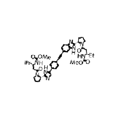 CC[C@H](CC(=O)N1CCC[C@H]1c1nc2ccc(C#Cc3ccc(-c4cnc([C@@H]5CCCN5C(=O)C[C@H](NC(=O)OC)C(C)C)[nH]4)cc3)cc2[nH]1)NC(=O)OC